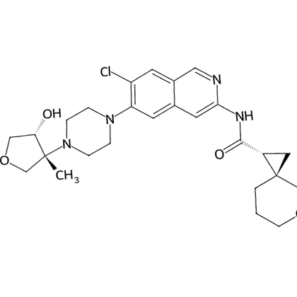 C[C@@]1(N2CCN(c3cc4cc(NC(=O)[C@@H]5C[C@@]56CCCOC6)ncc4cc3Cl)CC2)COC[C@@H]1O